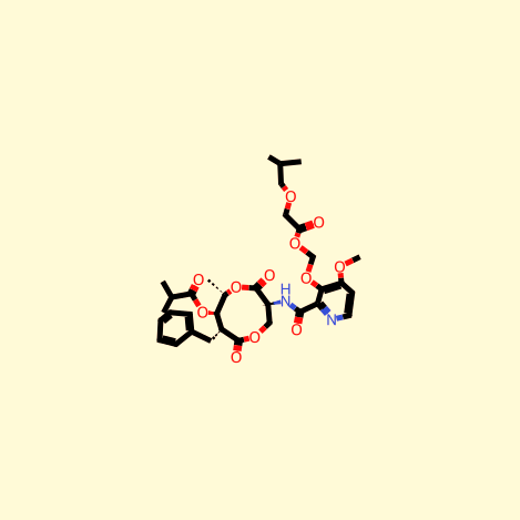 COc1ccnc(C(=O)N[C@H]2COC(=O)[C@H](Cc3ccccc3)[C@@H](OC(=O)C(C)C)[C@H](C)OC2=O)c1OCOC(=O)COCC(C)C